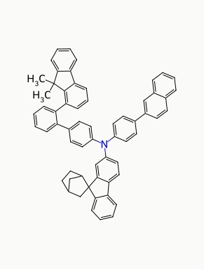 CC1(C)c2ccccc2-c2cccc(-c3ccccc3-c3ccc(N(c4ccc(-c5ccc6ccccc6c5)cc4)c4ccc5c(c4)C4(CC6CCC4C6)c4ccccc4-5)cc3)c21